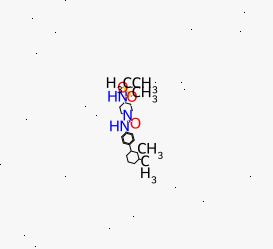 CC1CCCC(c2ccc(NC(=O)N3CCC(NS(=O)(=O)C(C)(C)C)CC3)cc2)C1C